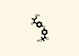 CC(CO)C(=O)c1ccc(Oc2ccc(C(=O)C(C)(C)O)cc2)cc1